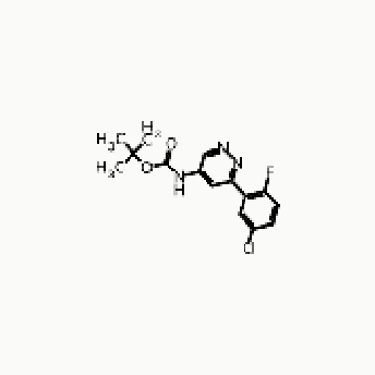 CC(C)(C)OC(=O)Nc1cnnc(-c2cc(Cl)ccc2F)c1